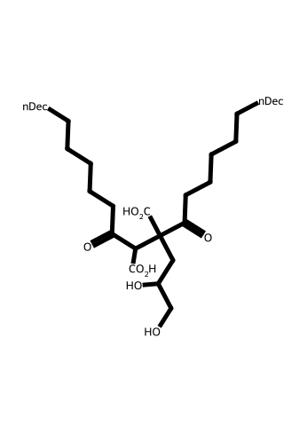 CCCCCCCCCCCCCCCC(=O)C(C(=O)O)C(CC(O)CO)(C(=O)O)C(=O)CCCCCCCCCCCCCCC